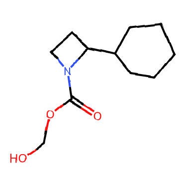 O=C(OCO)N1CCC1C1CCCCC1